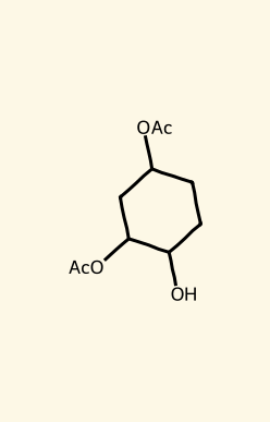 CC(=O)OC1CCC(O)C(OC(C)=O)C1